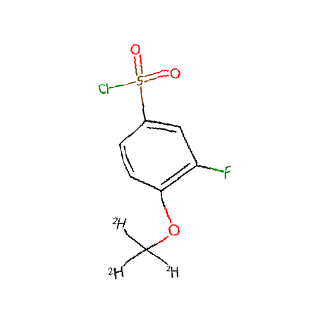 [2H]C([2H])([2H])Oc1ccc(S(=O)(=O)Cl)cc1F